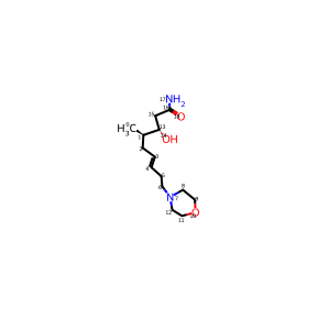 C[C@H](C/C=C/CCN1CCOCC1)[C@@H](O)CC(N)=O